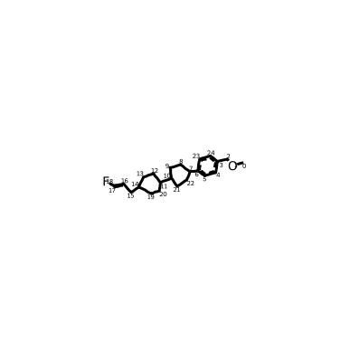 COCc1ccc(C2CCC(C3CCC(C/C=C/F)CC3)CC2)cc1